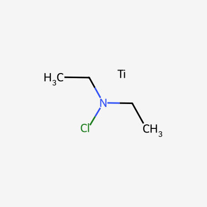 CCN(Cl)CC.[Ti]